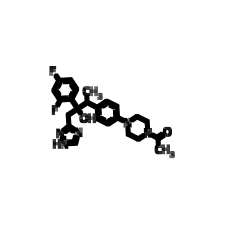 CC(=O)N1CCN(c2ccc(C(C)C(O)(Cc3nc[nH]n3)c3ccc(F)cc3F)cc2)CC1